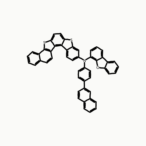 c1ccc2cc(-c3ccc(N(c4ccc5c(c4)sc4ccc6sc7c8ccccc8ccc7c6c45)c4cccc5c4oc4ccccc45)cc3)ccc2c1